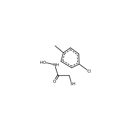 Cc1ccc(Cl)cc1.O=C(CS)NO